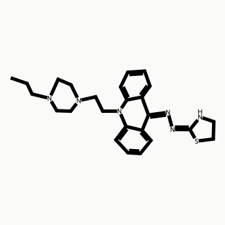 CCCN1CCN(CCn2c3ccccc3c(=NN=C3NCCS3)c3ccccc32)CC1